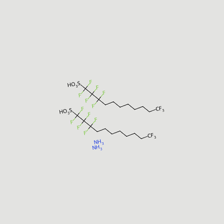 N.N.O=S(=O)(O)C(F)(F)C(F)(F)C(F)(F)CCCCCCCC(F)(F)F.O=S(=O)(O)C(F)(F)C(F)(F)C(F)(F)CCCCCCCC(F)(F)F